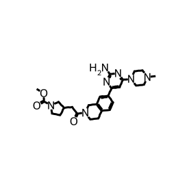 COC(=O)N1CCC(CC(=O)N2CCc3ccc(-c4cc(N5CCN(C)CC5)nc(N)n4)cc3C2)C1